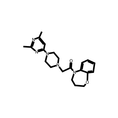 Cc1cc(N2CCN(CC(=O)N3CCCOc4ccccc43)CC2)nc(C)n1